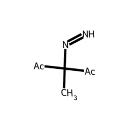 CC(=O)C(C)(N=N)C(C)=O